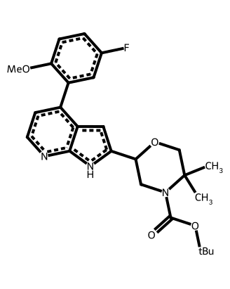 COc1ccc(F)cc1-c1ccnc2[nH]c(C3CN(C(=O)OC(C)(C)C)C(C)(C)CO3)cc12